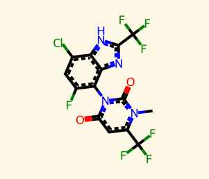 Cn1c(C(F)(F)F)cc(=O)n(-c2c(F)cc(Cl)c3[nH]c(C(F)(F)F)nc23)c1=O